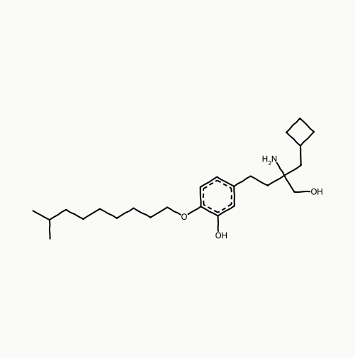 CC(C)CCCCCCCOc1ccc(CCC(N)(CO)CC2CCC2)cc1O